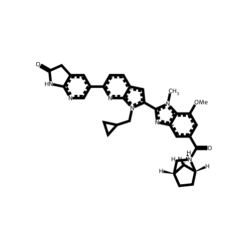 COc1cc(C(=O)N2C[C@H]3CC[C@@H]2[C@@H]3N)cc2nc(-c3cc4ccc(-c5cnc6c(c5)CC(=O)N6)nc4n3CC3CC3)n(C)c12